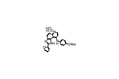 COc1ccc(Nc2ccnc3ccc4nc(-c5ccco5)[nH]c4c23)cc1.Cl.O